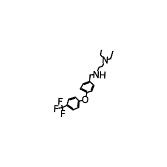 CCN(CC)CCNCc1ccc(Oc2ccc(C(F)(F)F)cc2)cc1